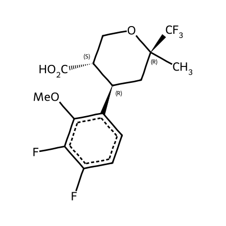 COc1c([C@@H]2C[C@](C)(C(F)(F)F)OC[C@H]2C(=O)O)ccc(F)c1F